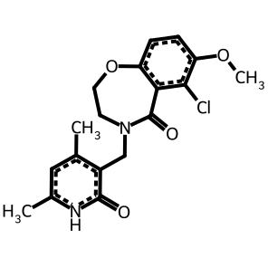 COc1ccc2c(c1Cl)C(=O)N(Cc1c(C)cc(C)[nH]c1=O)CCO2